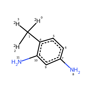 [2H]C([2H])([2H])c1ccc(N)cc1N